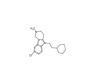 CN1CCc2c(c3cc(Cl)ccc3n2CCC2CCCCC2)C1